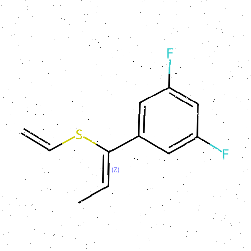 C=CS/C(=C\C)c1cc(F)cc(F)c1